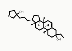 CC[C@]1(O)CC[C@H]2C(=CC[C@@H]3[C@@H]2CC[C@]2(C)[C@@H](CCCC4(O)CCOC4)CC[C@@H]32)C1